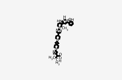 CC(C)C(C(=O)O)c1cc(N2CCC3(CC2)CC(N2CCC(c4cnc(N5CCc6[nH]c7c(c6[C@@H]5C)C=C(c5ccccc5O)NN7)nc4)CC2)C3)no1